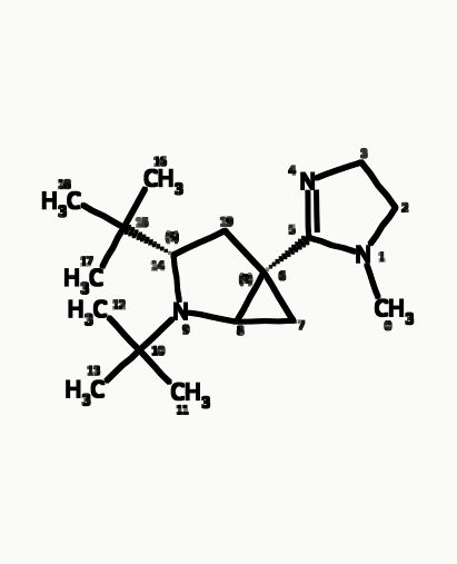 CN1CCN=C1[C@]12CC1N(C(C)(C)C)[C@H](C(C)(C)C)C2